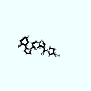 O=C(c1cnn2ccc(N3CCCC3c3cc(F)ccc3F)nc12)N1CCC(O)C1